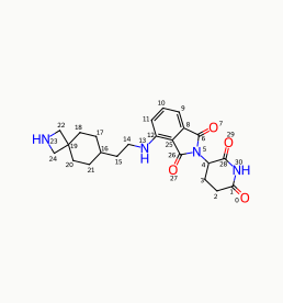 O=C1CCC(N2C(=O)c3cccc(NCCC4CCC5(CC4)CNC5)c3C2=O)C(=O)N1